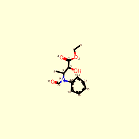 CCOC(=O)C(O)C(C)N(C=O)c1ccccc1